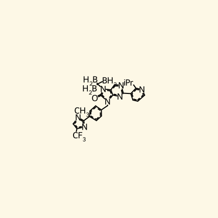 BC(B)(B)n1c(=O)n(Cc2ccc(-c3nc(C(F)(F)F)cn3C)cc2)c2nc(-c3cccnc3C(C)C)ncc21